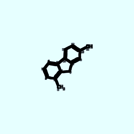 Cc1cccc2c1Cc1cc(O)ccc1-2